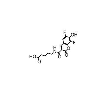 O=C(O)CCCCNC(=O)c1cc2cc(F)c(O)c(F)c2oc1=O